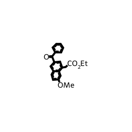 CCOC(=O)Cc1cc(C(=O)c2ccccc2)cc2ccc(OC)cc12